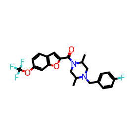 CC1CN(C(=O)c2cc3ccc(OC(F)(F)F)cc3o2)C(C)CN1Cc1ccc(F)cc1